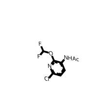 CC(=O)Nc1ccc(Cl)nc1OC(F)F